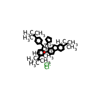 CC(C)(C)c1ccc([C](c2ccc(C(C)(C)C)cc2)=[Zr+2]([C]2=CC=CC2)[c]2c(C(C)(C)C)ccc3c2Cc2cc(C(C)(C)C)ccc2-3)cc1.[Cl-].[Cl-]